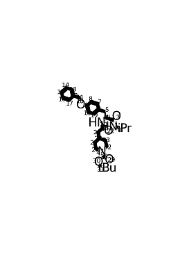 CC(C)NC(=O)[C@H](Cc1ccc(OCc2ccccc2)cc1)NC(=O)CC1CCN(C(=O)OC(C)(C)C)CC1